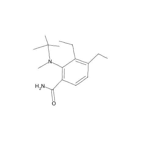 CCc1ccc(C(N)=O)c(N(C)C(C)(C)C)c1CC